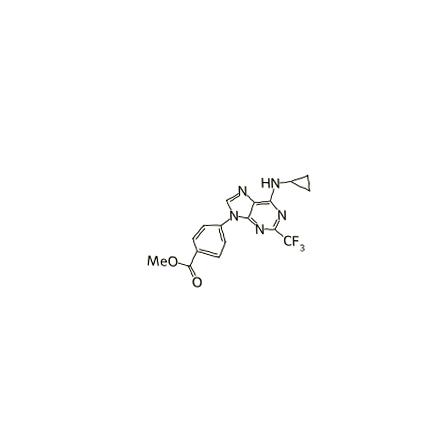 COC(=O)c1ccc(-n2cnc3c(NC4CC4)nc(C(F)(F)F)nc32)cc1